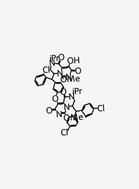 COc1nc(=O)c(Oc2cccc(C(c3ccccc3Cl)C3CN(C(C)C)C(=O)c4c(O)c(=O)nc(OC)n43)c2)c2n1C(C(c1ccc(Cl)cc1)c1ccc(Cl)cc1)CN(C(C)C)C2=O